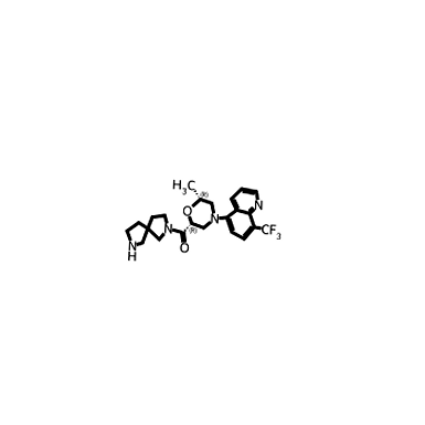 C[C@@H]1CN(c2ccc(C(F)(F)F)c3ncccc23)C[C@H](C(=O)N2CCC3(CCNC3)C2)O1